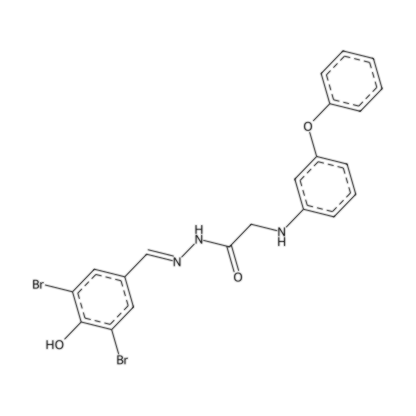 O=C(CNc1cccc(Oc2ccccc2)c1)NN=Cc1cc(Br)c(O)c(Br)c1